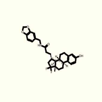 C[C@]12CC[C@@H]3c4ccc(O)cc4CC[C@H]3[C@@H]1[C@H](CCC(=O)NCc1ccc3c(c1)OCO3)CC2(F)F